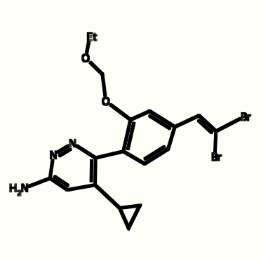 CCOCOc1cc(C=C(Br)Br)ccc1-c1nnc(N)cc1C1CC1